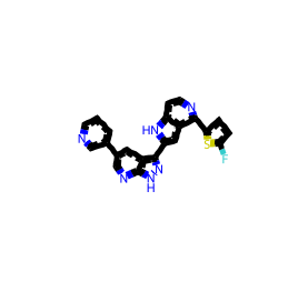 Fc1ccc(-c2nccc3[nH]c(-c4n[nH]c5ncc(-c6cccnc6)cc45)cc23)s1